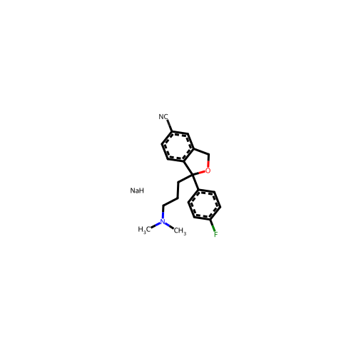 CN(C)CCCC1(c2ccc(F)cc2)OCc2cc(C#N)ccc21.[NaH]